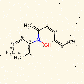 C=C(/C=C\C=C/C)N(O)C(/C=C\C)=C/C